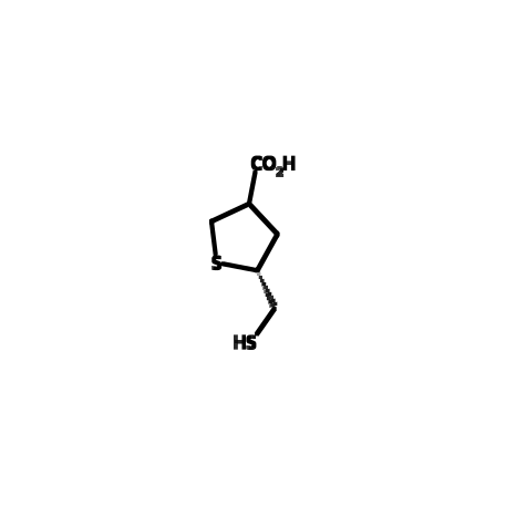 O=C(O)C1CS[C@@H](CS)C1